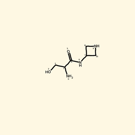 NC(CO)C(=O)NC1CNC1